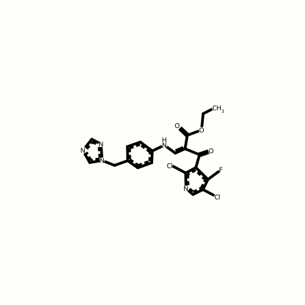 CCOC(=O)C(=CNc1ccc(Cn2cncn2)cc1)C(=O)c1c(Cl)ncc(Cl)c1F